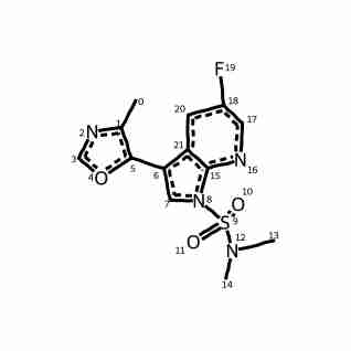 Cc1ncoc1-c1cn(S(=O)(=O)N(C)C)c2ncc(F)cc12